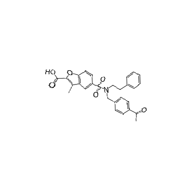 CC(=O)c1ccc(CN(CCc2ccccc2)S(=O)(=O)c2ccc3oc(C(=O)O)c(C)c3c2)cc1